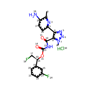 Cc1nc(-c2nnn(C)c2C(=O)NC(=O)O[C@H](CF)c2cccc(F)c2)ccc1N.Cl